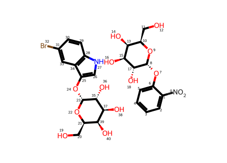 O=[N+]([O-])c1ccccc1O[C@H]1O[C@H](CO)[C@H](O)[C@H](O)[C@H]1O.OC[C@H]1O[C@H](Oc2c[nH]c3ccc(Br)cc23)[C@H](O)[C@@H](O)[C@H]1O